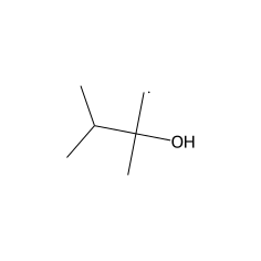 [CH2]C(C)(O)C(C)C